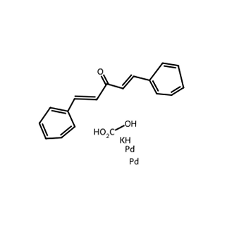 O=C(C=Cc1ccccc1)C=Cc1ccccc1.O=C(O)O.[KH].[Pd].[Pd]